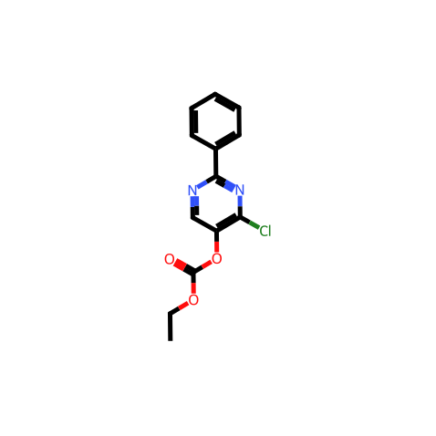 CCOC(=O)Oc1cnc(-c2ccccc2)nc1Cl